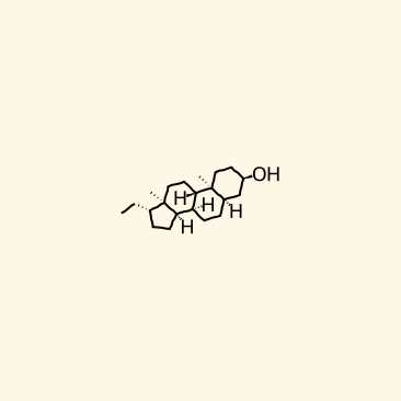 CC[C@H]1CC[C@@H]2[C@@H]3CC[C@@H]4C[C@H](O)CC[C@]4(C)[C@H]3CC[C@]12C